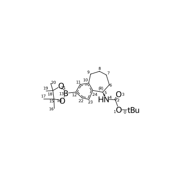 CC(C)(C)OC(=O)N[C@@H]1CCCCc2cc(B3OC(C)(C)C(C)(C)O3)ccc21